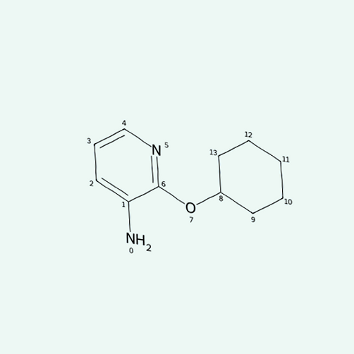 Nc1cccnc1OC1CCCCC1